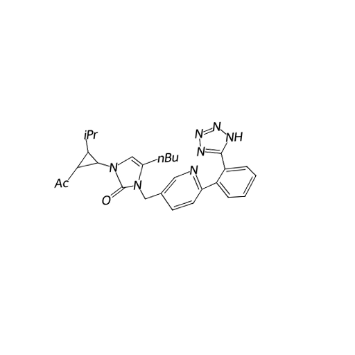 CCCCc1cn(C2C(C(C)=O)C2C(C)C)c(=O)n1Cc1ccc(-c2ccccc2-c2nnn[nH]2)nc1